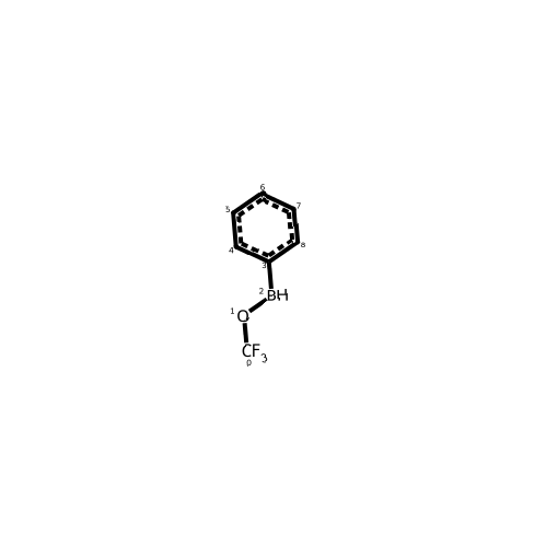 FC(F)(F)OBc1cc[c]cc1